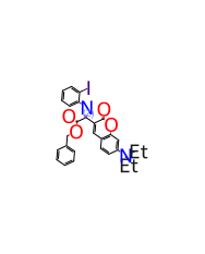 CCN(CC)c1ccc2cc(/C(=N/c3ccccc3I)C(=O)OCc3ccccc3)c(=O)oc2c1